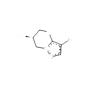 C[C@H]1COc2c(Br)cnn2C1